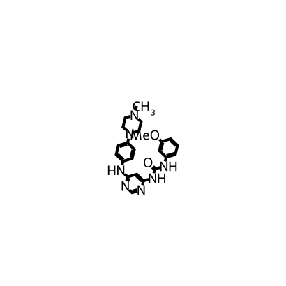 COc1cccc(NC(=O)Nc2cc(Nc3ccc(N4CCN(C)CC4)cc3)ncn2)c1